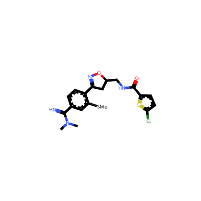 CSc1cc(C(=N)N(C)C)ccc1C1=NOC(CNC(=O)c2ccc(Cl)s2)C1